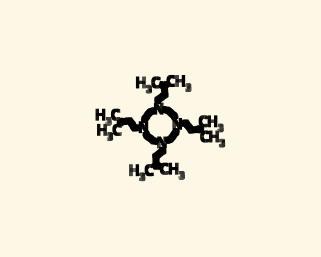 CC(C)CCN1CCN(CCC(C)C)CCN(CCC(C)C)CCN(CCC(C)C)CC1